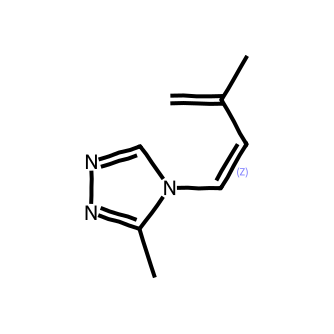 C=C(C)/C=C\n1cnnc1C